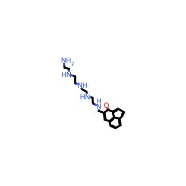 NCCNCCNCCNCCNCC1=Cc2cccc3cccc(c23)C1=O